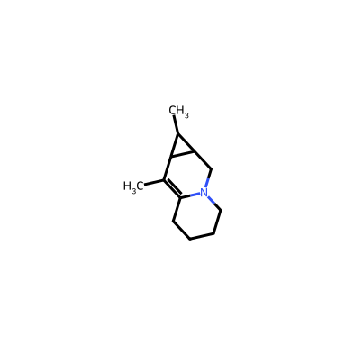 CC1=C2CCCCN2CC2C(C)C12